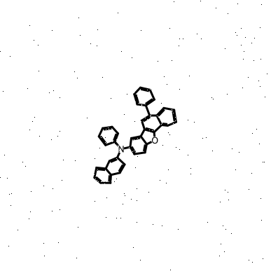 c1ccc(-c2cc3c4cc(N(c5ccccc5)c5ccc6ccccc6c5)ccc4oc3c3ccccc23)cc1